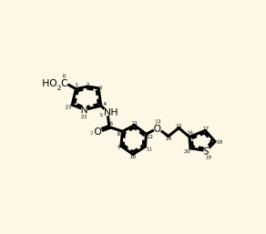 O=C(O)c1ccc(NC(=O)c2cccc(OCCc3ccsc3)c2)nc1